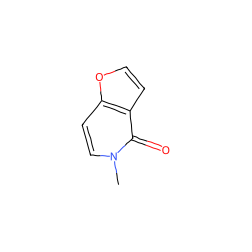 Cn1ccc2occc2c1=O